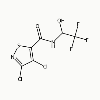 O=C(NC(O)C(F)(F)F)c1snc(Cl)c1Cl